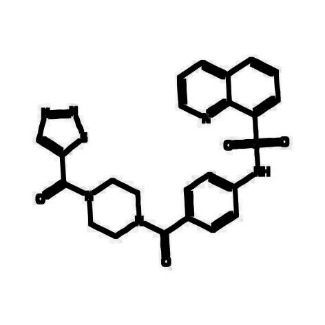 O=C(c1ccc(NS(=O)(=O)c2cccc3cccnc23)cc1)N1CCN(C(=O)c2cnns2)CC1